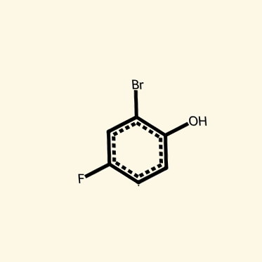 Oc1c[c]c(F)cc1Br